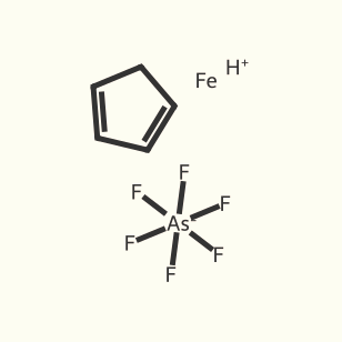 C1=CCC=C1.F[As-](F)(F)(F)(F)F.[Fe].[H+]